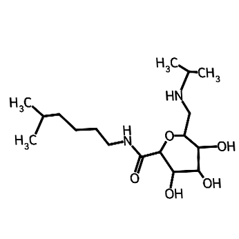 CC(C)CCCCNC(=O)C1OC(CNC(C)C)C(O)C(O)C1O